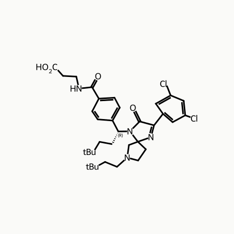 CC(C)(C)CC[C@H](c1ccc(C(=O)NCCC(=O)O)cc1)N1C(=O)C(c2cc(Cl)cc(Cl)c2)=NC12CCN(CCC(C)(C)C)C2